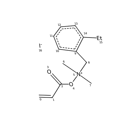 C=CC(=O)O[N+](C)(C)Cc1ccccc1CC.[I-]